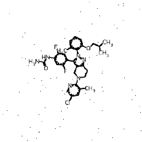 Cc1cc(Cl)cnc1N1CCc2nn(-c3c(C)cccc3OCC(C)C)c(-c3cc(F)c(NC(N)=O)cc3F)c2C1